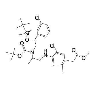 COC(=O)Cc1cc(Cl)c(NCC(C)N(CC(O[Si](C)(C)C(C)(C)C)c2cccc(Cl)c2)C(=O)OC(C)(C)C)cc1C